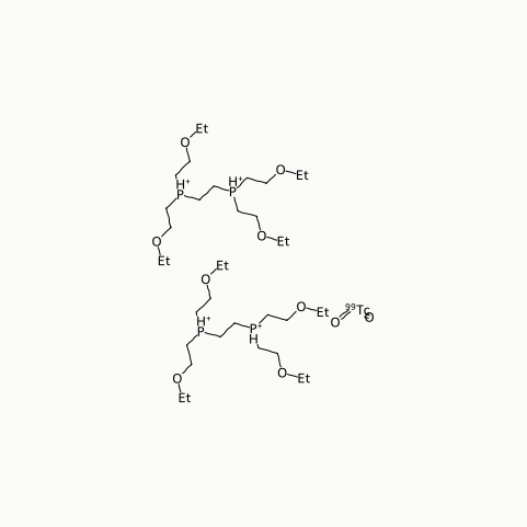 CCOCC[PH+](CCOCC)CC[PH+](CCOCC)CCOCC.CCOCC[PH+](CCOCC)CC[PH+](CCOCC)CCOCC.[O]=[99Tc]=[O]